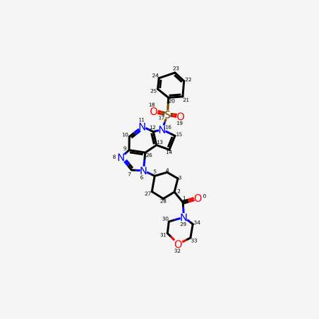 O=C(C1CCC(n2cnc3cnc4c(ccn4S(=O)(=O)c4ccccc4)c32)CC1)N1CCOCC1